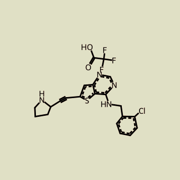 Clc1ccccc1CNc1ncnc2cc(C#CC3CCCN3)sc12.O=C(O)C(F)(F)F